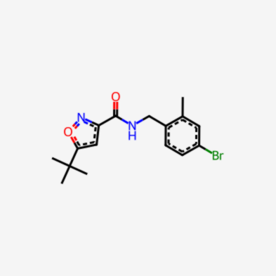 Cc1cc(Br)ccc1CNC(=O)c1cc(C(C)(C)C)on1